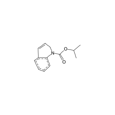 CC(C)OC(=O)N1CC=Cc2ccccc21